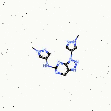 Cn1cc(Nc2ncc3nnn(-c4cnn(C)c4)c3n2)cn1